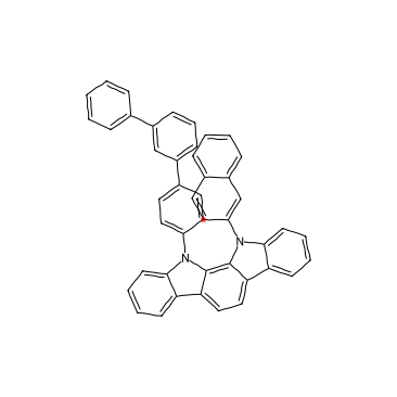 c1ccc(-c2cccc(-c3ccc(-n4c5ccccc5c5ccc6c7ccccc7n(-c7ccc8ccccc8c7)c6c54)cc3)c2)cc1